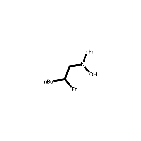 CCCCC(CC)CN(O)CCC